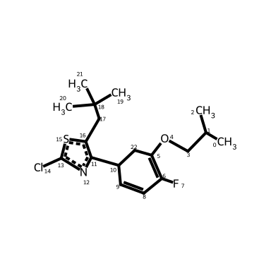 CC(C)COC1=C(F)C=CC(c2nc(Cl)sc2CC(C)(C)C)C1